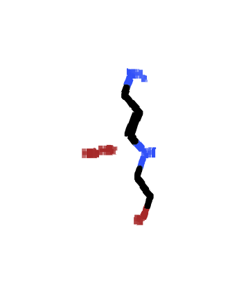 Br.Br.NCC=CNCCBr